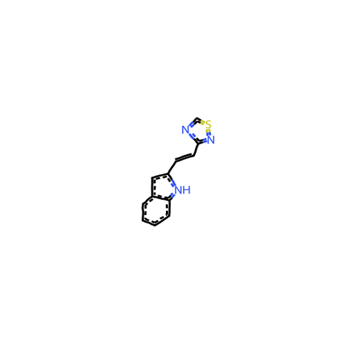 C(=Cc1cc2ccccc2[nH]1)c1ncsn1